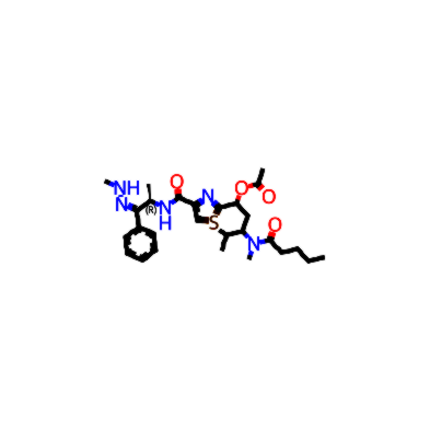 CCCCC(=O)N(C)C(CC(OC(C)=O)c1nc(C(=O)N[C@H](C)C(=NNC)c2ccccc2)cs1)C(C)C